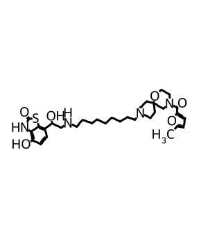 Cc1ccc(C(=O)N2CCOC3(CCN(CCCCCCCCCNC[C@H](O)c4ccc(O)c5[nH]c(=O)sc45)CC3)C2)o1